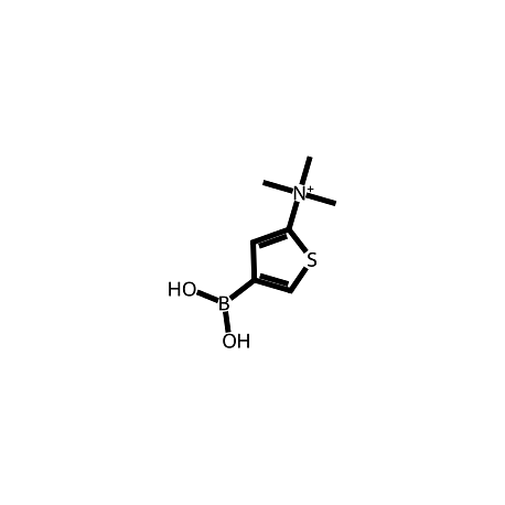 C[N+](C)(C)c1cc(B(O)O)cs1